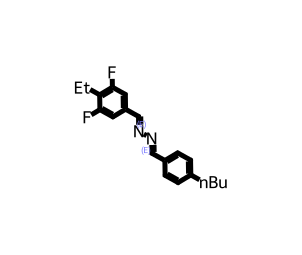 CCCCc1ccc(/C=N/N=C/c2cc(F)c(CC)c(F)c2)cc1